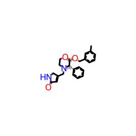 Cc1cccc(CO[C@H]2OCCN(CC3=CC(=O)NC3)[C@H]2c2ccccc2)c1